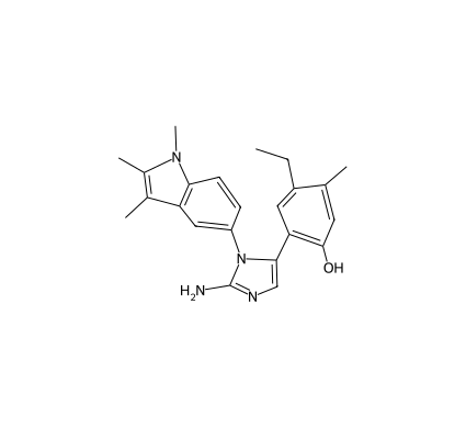 CCc1cc(-c2cnc(N)n2-c2ccc3c(c2)c(C)c(C)n3C)c(O)cc1C